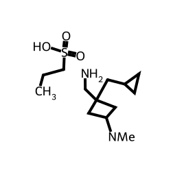 CCCS(=O)(=O)O.CNC1CC(CN)(CC2CC2)C1